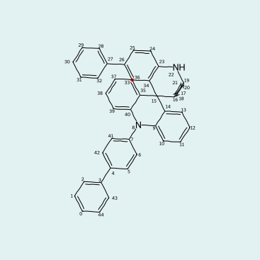 c1ccc(-c2ccc(N3c4ccccc4C4(c5ccccc5Nc5ccc(-c6ccccc6)cc54)c4ccccc43)cc2)cc1